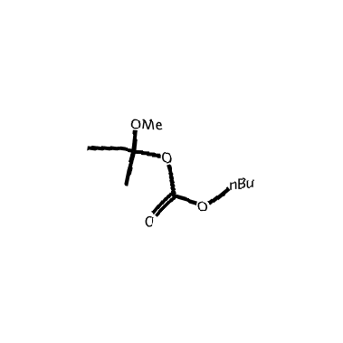 CCCCOC(=O)OC(C)(C)OC